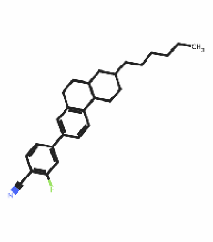 CCCCCCC1CCC2c3ccc(-c4ccc(C#N)c(F)c4)cc3CCC2C1